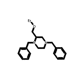 CCOCC1CN(Cc2ccccc2)CCN1Cc1ccccc1